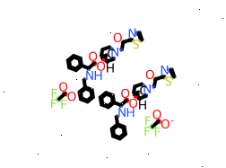 O=C(C[N+]12CCC(CC1)[C@@H](OC(=O)C(NCc1ccccc1)c1ccccc1)C2)c1nccs1.O=C(C[N+]12CCC(CC1)[C@@H](OC(=O)C(NCc1ccccc1)c1ccccc1)C2)c1nccs1.O=C([O-])C(F)(F)F.O=C([O-])C(F)(F)F